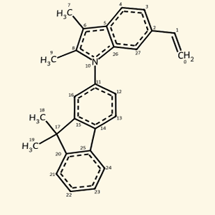 C=Cc1ccc2c(C)c(C)n(-c3ccc4c(c3)C(C)(C)c3ccccc3-4)c2c1